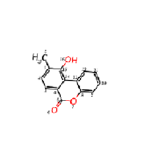 Cc1ccc2c(=O)oc3ccccc3c2c1O